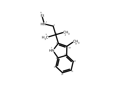 CCNCC(C)(C)c1[nH]c2ccccc2c1C